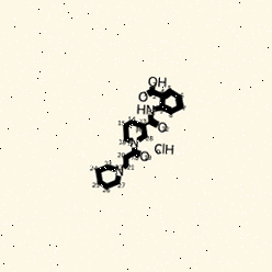 Cl.O=C(O)c1ccccc1NC(=O)[C@@H]1CCCN(C(=O)CCN2CCCCC2)C1